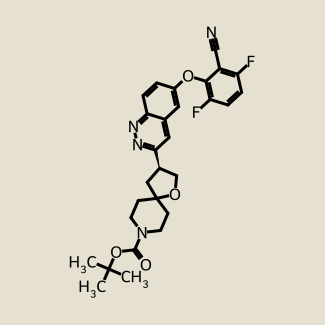 CC(C)(C)OC(=O)N1CCC2(CC1)C[C@@H](c1cc3cc(Oc4c(F)ccc(F)c4C#N)ccc3nn1)CO2